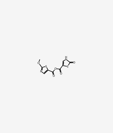 COc1ncc(C(=O)OC(=O)c2c[nH]c(=O)s2)s1